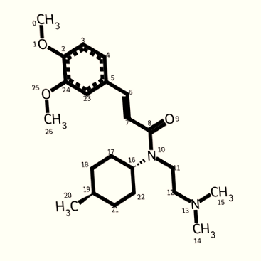 COc1ccc(C=CC(=O)N(CCN(C)C)[C@H]2CC[C@H](C)CC2)cc1OC